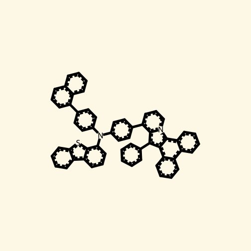 c1ccc(-c2c3c4ccccc4c4ccccc4c3n3cccc(-c4ccc(N(c5ccc(-c6cccc7ccccc67)cc5)c5cccc6c5sc5ccccc56)cc4)c23)cc1